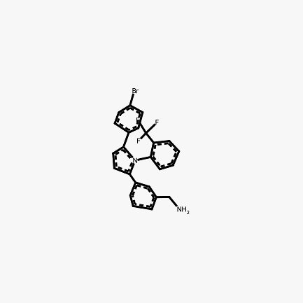 NCc1cccc(-c2ccc(-c3ccc(Br)cc3)n2-c2ccccc2C(F)(F)F)c1